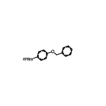 [CH2]CCCCCc1ccc(OCc2ccccc2)cc1